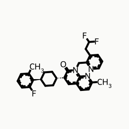 Cc1ccc2cc([C@H]3CC[C@H](c4c(C)cccc4F)CC3)c(=O)n(Cc3ncccc3CC(F)F)c2n1